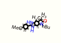 CCCCN1C(=O)C(C)(C)c2cc3c(cc21)NC(c1ccc(OC)cc1)N3